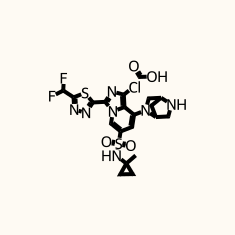 CC1(NS(=O)(=O)c2cc(N3CC4CC3CN4)c3c(Cl)nc(-c4nnc(C(F)F)s4)n3c2)CC1.O=CO